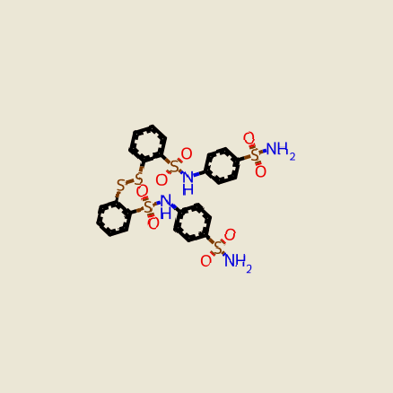 NS(=O)(=O)c1ccc(NS(=O)(=O)c2ccccc2SSc2ccccc2S(=O)(=O)Nc2ccc(S(N)(=O)=O)cc2)cc1